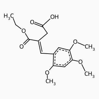 CCOC(=O)/C(=C/c1cc(OC)c(OC)cc1OC)CC(=O)O